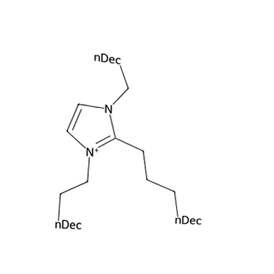 CCCCCCCCCCCCCc1n(CCCCCCCCCCC)cc[n+]1CCCCCCCCCCCC